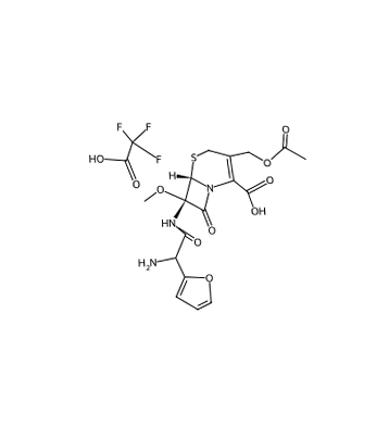 CO[C@@]1(NC(=O)C(N)c2ccco2)C(=O)N2C(C(=O)O)=C(COC(C)=O)CS[C@H]21.O=C(O)C(F)(F)F